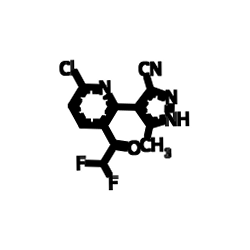 Cc1[nH]nc(C#N)c1-c1nc(Cl)ccc1C(=O)C(F)F